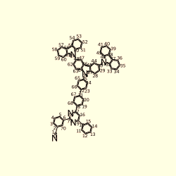 N#Cc1cccc(-c2nc(-c3ccccc3)cc(-c3ccc(-c4ccc(-n5c6ccc(-n7c8ccccc8c8ccccc87)cc6c6cc(-n7c8ccccc8c8ccccc87)ccc65)cc4)cc3)n2)c1